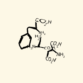 C[C@H](N)C(=O)O.N[C@@H](CC(=O)O)C(=O)O.N[C@@H](Cc1ccccc1)C(=O)O